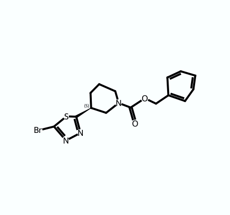 O=C(OCc1ccccc1)N1CCC[C@H](c2nnc(Br)s2)C1